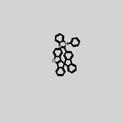 c1ccc(-n2c(-c3ccc4c(c3)C3(c5ccccc5-4)c4ccccc4-c4oc5ccccc5c43)nc3ccccc32)cc1